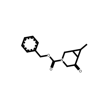 CC1C2CN(C(=O)OCc3ccccc3)CC(=O)C12